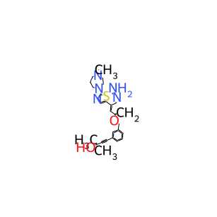 C=C(/C=C(\C=N/CN)c1cnc(N2CCCN(C)CC2)s1)OCc1cccc(C#CC(C)(C)O)c1